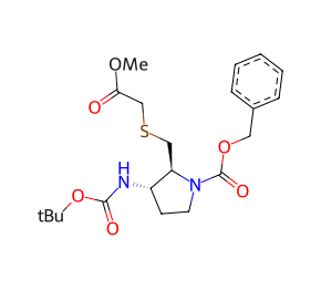 COC(=O)CSC[C@@H]1[C@@H](NC(=O)OC(C)(C)C)CCN1C(=O)OCc1ccccc1